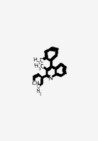 C/C=C\C(=C/C)c1nc2ccccc2c(-c2ccccc2C)c1C